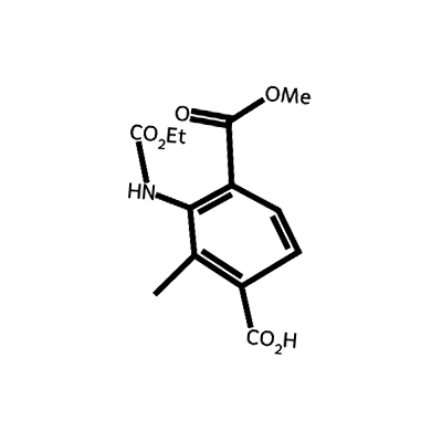 CCOC(=O)Nc1c(C(=O)OC)ccc(C(=O)O)c1C